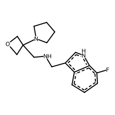 Fc1cccc2c(CNCC3(N4CCCC4)COC3)c[nH]c12